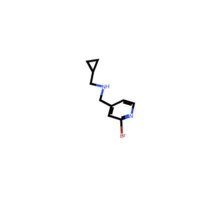 Brc1cc(CNCC2CC2)ccn1